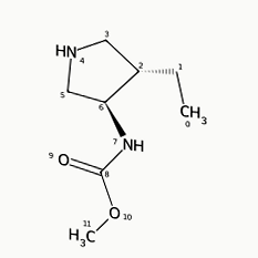 CC[C@H]1CNC[C@@H]1NC(=O)OC